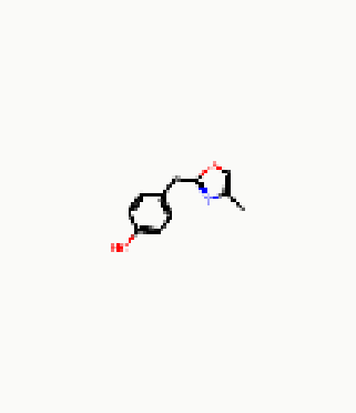 Cc1coc(Cc2ccc(O)cc2)n1